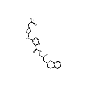 NC(=O)CN1CC(Nc2cc(C(=O)NCC(O)CN3CCc4ccccc4C3)ncn2)C1